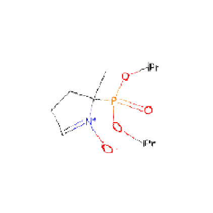 CC(C)OP(=O)(OC(C)C)C1(C)CCC=[N+]1[O-]